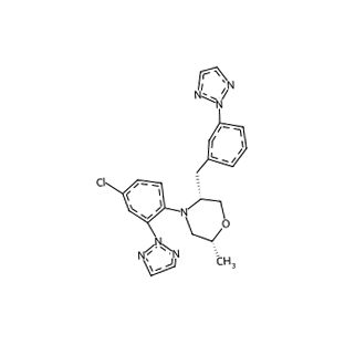 C[C@@H]1CN(c2ccc(Cl)cc2-n2nccn2)[C@H](Cc2cccc(-n3nccn3)c2)CO1